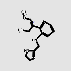 CC/C(=N\OC)c1ccccc1NCC1=NCCN1